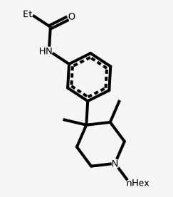 CCCCCCN1CCC(C)(c2cccc(NC(=O)CC)c2)C(C)C1